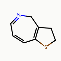 C1=CC2=C(CCS2)CN=C1